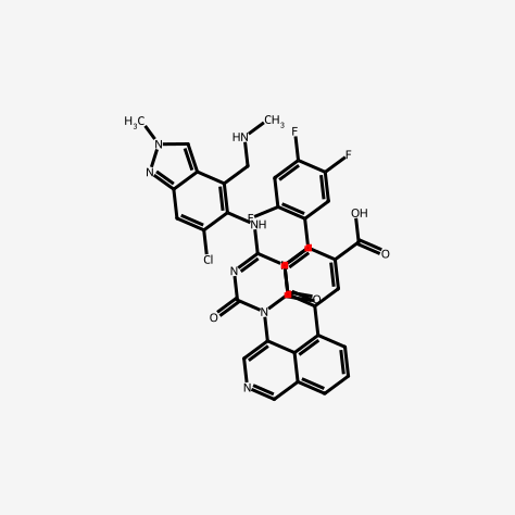 CNCc1c(Nc2nc(=O)n(-c3cncc4cccc(-c5cccc(C(=O)O)c5)c34)c(=O)n2Cc2cc(F)c(F)cc2F)c(Cl)cc2nn(C)cc12